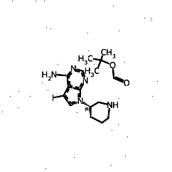 CC(C)(C)OC=O.Nc1ncnc2c1c(I)cn2[C@@H]1CCCNC1